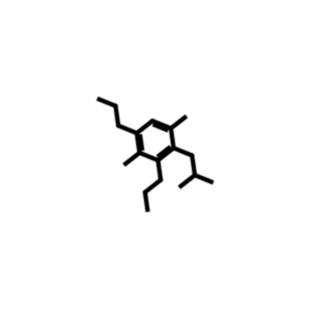 CCCc1cc(C)c(CC(C)C)c(CCC)c1C